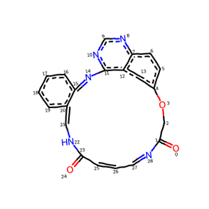 O=C1COc2ccc3ncnc(c3c2)/N=c2/cccc/c2=C/NC(=O)/C=C\C=N/1